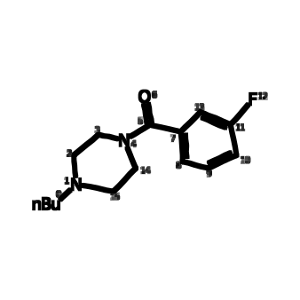 CCCCN1CCN(C(=O)c2cccc(F)c2)CC1